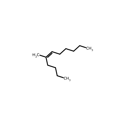 [CH2]C(=CCCCCC)CCCC